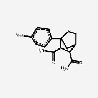 CSc1ccc(C23CCC(C2)C(C(N)=O)C3C(N)=O)cc1